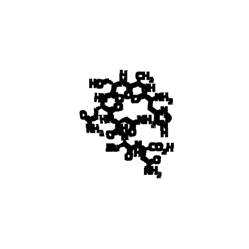 CC[C@H](C)[C@H](NC(=O)[C@H](CC(N)=O)NC(=O)[C@H](CCC(N)=O)NC(=O)[C@H](CO)NC(=O)[C@H](C)NC(=O)[C@@H](N)Cc1c[nH]cn1)C(=O)N[C@@H](CC(N)=O)C(=O)O